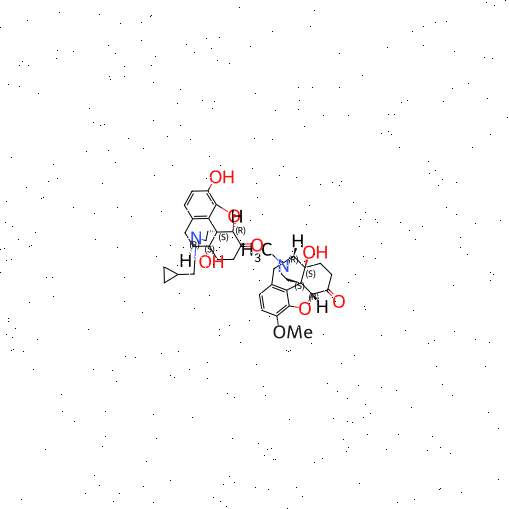 COc1ccc2c3c1O[C@H]1C(=O)CC[C@@]4(O)[C@@H](C2)N(C)CC[C@]314.O=C1CC[C@@]2(O)[C@H]3Cc4ccc(O)c5c4[C@@]2(CCN3CC2CC2)[C@H]1O5